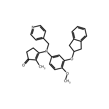 COc1ccc(N(Cc2ccncc2)C2=C(C)C(=O)CC2)cc1OC1Cc2ccccc2C1